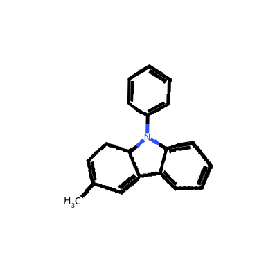 CC1=CCC2C(=C1)c1ccccc1N2c1ccccc1